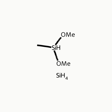 CO[SiH](C)OC.[SiH4]